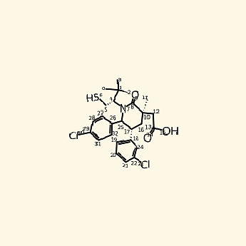 CC(C)(C)[C@@H](CS)N1C(=O)[C@@](C)(CC(=O)O)C[C@H](c2cccc(Cl)c2)C1c1ccc(Cl)cc1